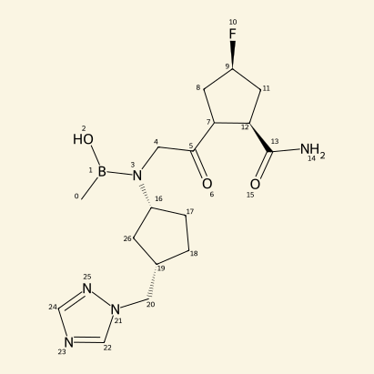 CB(O)N(CC(=O)C1C[C@@H](F)C[C@H]1C(N)=O)[C@@H]1CC[C@H](Cn2cncn2)C1